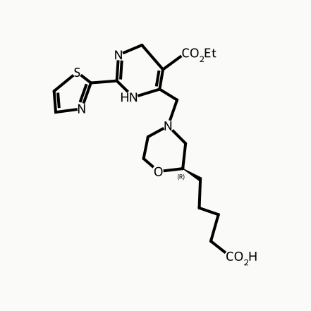 CCOC(=O)C1=C(CN2CCO[C@H](CCCCC(=O)O)C2)NC(c2nccs2)=NC1